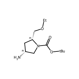 CCOC[C@H]1C[C@@H](N)CN1C(=O)OC(C)(C)C